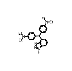 CCN(CC)c1ccc(C(c2ccc(N(CC)CC)cc2)c2cccc3[nH]nnc23)cc1